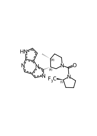 C[C@@H]1CCN(C(=O)N2CCC[C@H]2C(F)(F)F)C[C@@H]1c1ncc2cnc3[nH]ccc3n12